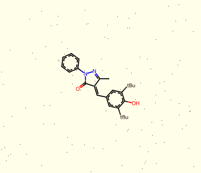 CC1=NN(c2ccccc2)C(=O)/C1=C/c1cc(C(C)(C)C)c(O)c(C(C)(C)C)c1